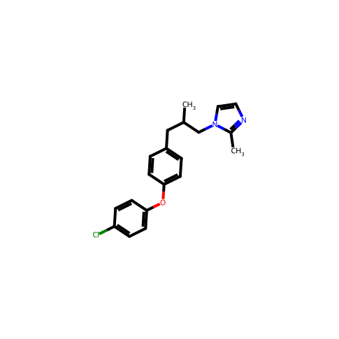 Cc1nccn1CC(C)Cc1ccc(Oc2ccc(Cl)cc2)cc1